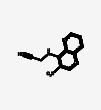 C#CCNc1c([N+](=O)[O-])cnc2cccnc12